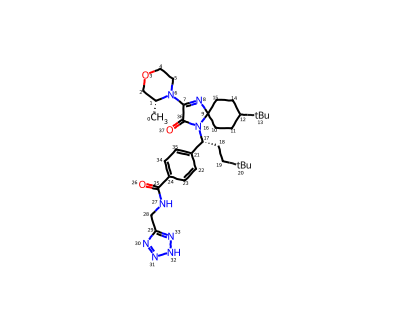 C[C@@H]1COCCN1C1=NC2(CCC(C(C)(C)C)CC2)N([C@H](CCC(C)(C)C)c2ccc(C(=O)NCc3nn[nH]n3)cc2)C1=O